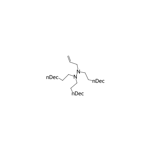 C=CCN(CCCCCCCCCCCC)N(CCCCCCCCCCCC)CCCCCCCCCCCC